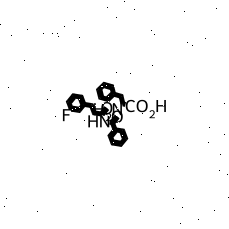 NC(Cc1ccccc1)C(=O)O.O=C(CCc1cccc(F)c1)NC(=O)c1ccccc1